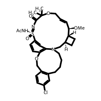 CO[C@@H]1/C=C/COC(C)(C)C(=O)N=[S@@](=O)(NC(C)=O)c2ccc3c(c2)N(CCCCc2cc(Cl)ccc2CO3)C[C@@H]2CC[C@H]21